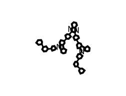 c1ccc(-c2cccc(-c3ccc(-n4c5ccccc5c5cc(-c6ccc(-c7nc8ccccc8nc7-c7ccc(-c8ccc9c(c8)c8ccccc8n9-c8ccc(-c9cccc(-c%10ccccc%10)c9)cc8)cc7)cc6)ccc54)cc3)c2)cc1